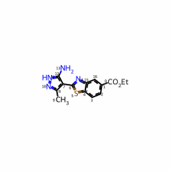 CCOC(=O)c1ccc2sc(-c3c(C)n[nH]c3N)nc2c1